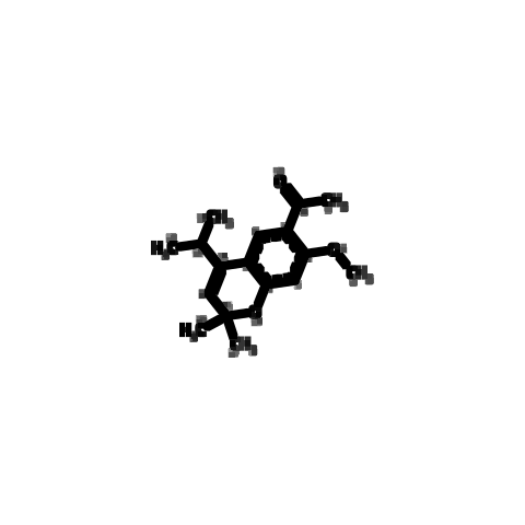 COc1cc2c(cc1C(C)=O)C(C(C)C)=CC(C)(C)O2